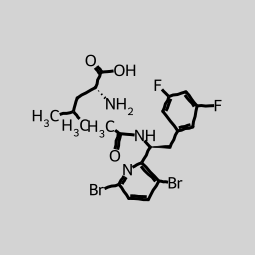 CC(=O)N[C@@H](Cc1cc(F)cc(F)c1)c1nc(Br)ccc1Br.CC(C)C[C@@H](N)C(=O)O